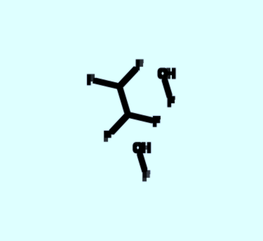 FC(F)C(F)F.OF.OF